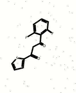 O=C(CC(=O)c1c(F)cccc1F)c1cccs1